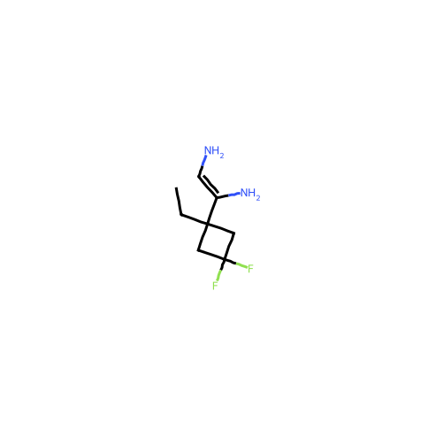 CCC1(/C(N)=C/N)CC(F)(F)C1